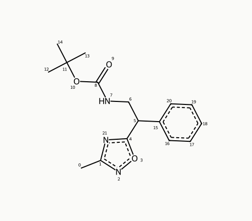 Cc1noc(C(CNC(=O)OC(C)(C)C)c2ccccc2)n1